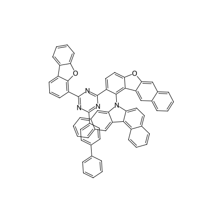 c1ccc(-c2ccc(-c3nc(-c4ccc5oc6cc7ccccc7cc6c5c4-n4c5cc6ccccc6cc5c5c6ccccc6ccc54)nc(-c4cccc5c4oc4ccccc45)n3)cc2)cc1